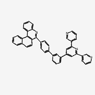 c1cc(-c2ccc(-c3nc4ccccc4c4c3ccc3ccccc34)cc2)cc(-c2cc(-c3cccnc3)nc(-c3cccnc3)c2)c1